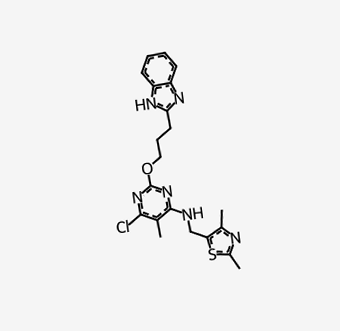 Cc1nc(C)c(CNc2nc(OCCCc3nc4ccccc4[nH]3)nc(Cl)c2C)s1